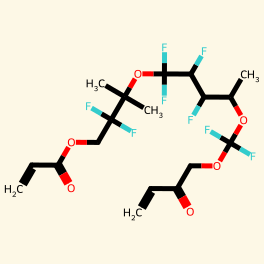 C=CC(=O)COC(F)(F)OC(C)C(F)C(F)C(F)(F)OC(C)(C)C(F)(F)COC(=O)C=C